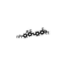 CCCc1ccc(-c2ccc(/C=C/c3ccc(-c4ccc(OCC)c(F)c4)cc3)c(F)c2F)cc1